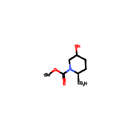 CC(C)(C)OC(=O)N1CC(O)CC[C@H]1C(=O)O